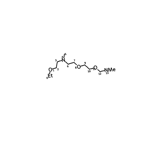 CCOCCN(C)CCOCCOCNC